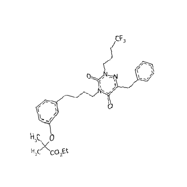 CCOC(=O)C(C)(C)Oc1cccc(CCCCn2c(=O)c(Cc3ccccc3)nn(CCCC(F)(F)F)c2=O)c1